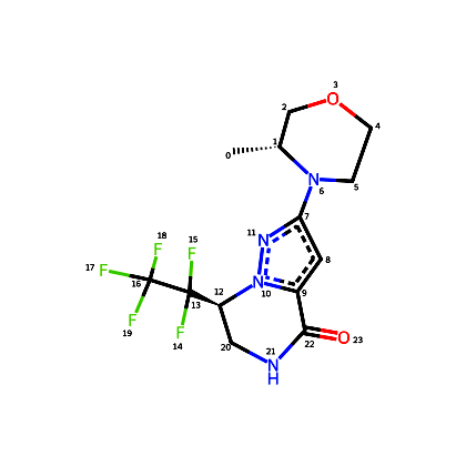 C[C@@H]1COCCN1c1cc2n(n1)[C@H](C(F)(F)C(F)(F)F)CNC2=O